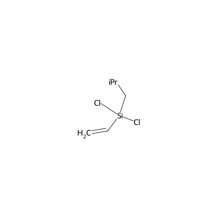 C=C[Si](Cl)(Cl)CC(C)C